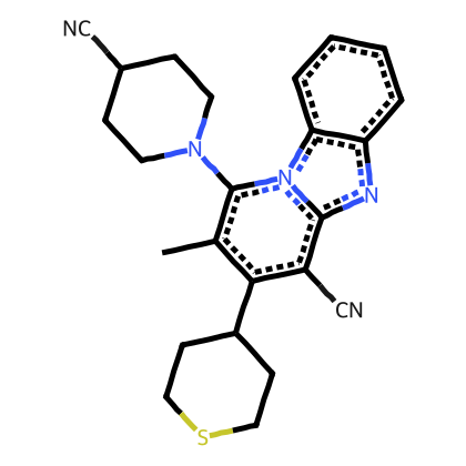 Cc1c(C2CCSCC2)c(C#N)c2nc3ccccc3n2c1N1CCC(C#N)CC1